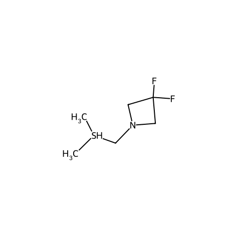 C[SH](C)CN1CC(F)(F)C1